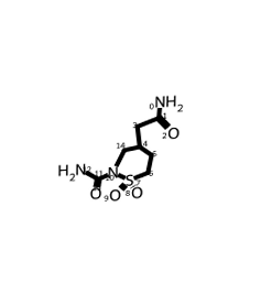 NC(=O)CC1CCS(=O)(=O)N(C(N)=O)C1